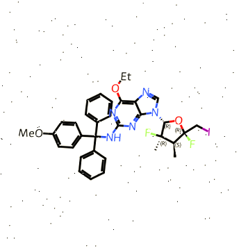 CCOc1nc(NC(c2ccccc2)(c2ccccc2)c2ccc(OC)cc2)nc2c1ncn2[C@@H]1O[C@](F)(CI)[C@@H](C)[C@@]1(C)F